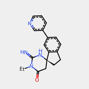 CCN1C(=N)N[C@@]2(CCc3ccc(-c4cccnc4)cc32)CC1=O